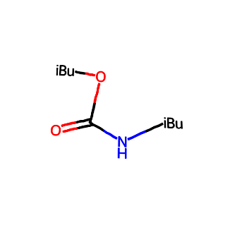 CCC(C)NC(=O)OC(C)CC